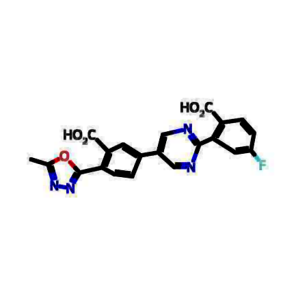 Cc1nnc(-c2ccc(-c3cnc(-c4cc(F)ccc4C(=O)O)nc3)cc2C(=O)O)o1